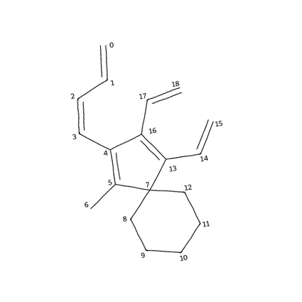 C=C/C=C\C1=C(C)C2(CCCCC2)C(C=C)=C1C=C